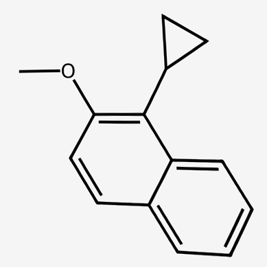 COc1ccc2ccccc2c1C1CC1